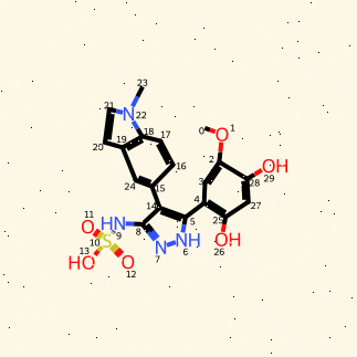 COc1cc(-c2[nH]nc(NS(=O)(=O)O)c2-c2ccc3c(ccn3C)c2)c(O)cc1O